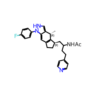 CC(=O)NC(CCc1ccncc1)C[C@H]1CCC2=C1[C@@H](C)C1=CNN(c3ccc(F)cc3)C1=C2